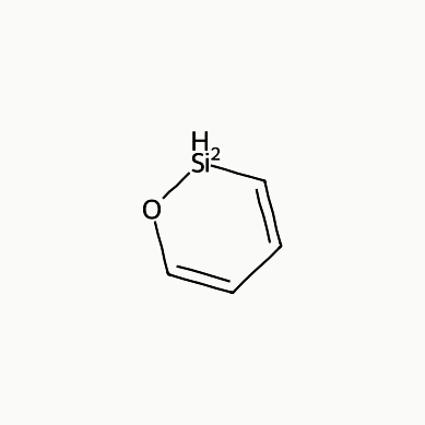 C1=CO[SiH2]C=C1